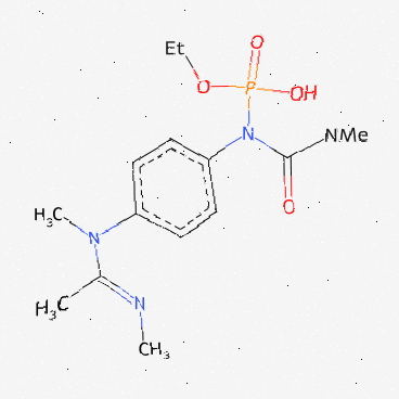 CCOP(=O)(O)N(C(=O)NC)c1ccc(N(C)C(C)=NC)cc1